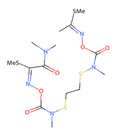 CSC(C)=NOC(=O)N(C)SCCSN(C)C(=O)ON=C(SC)C(=O)N(C)C